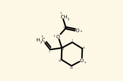 C=CC1(OC(C)=O)CCOCC1